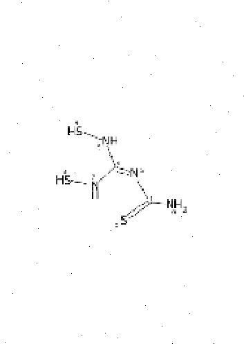 NC(=S)N=C(NS)NS